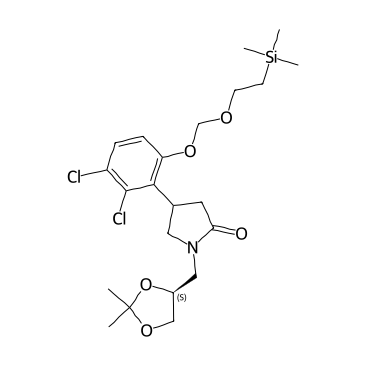 CC1(C)OC[C@H](CN2CC(c3c(OCOCC[Si](C)(C)C)ccc(Cl)c3Cl)CC2=O)O1